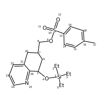 CC[Si](CC)(CC)OC1CC(COS(=O)(=O)c2ccc(C)cc2)Cc2cccnc21